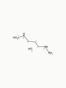 Cl.NNCCCNC(=O)O